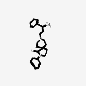 CC(CCN1CCC2(CC1)CCN(c1ccccc1)C2=O)c1ccccc1